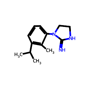 Cc1c(C(C)C)cccc1N1CCNC1=N